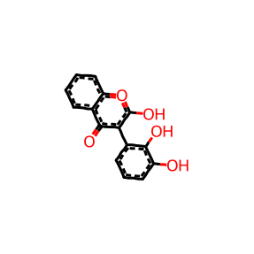 O=c1c(-c2cccc(O)c2O)c(O)oc2ccccc12